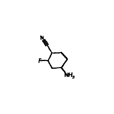 N#CC1CCC(N)CC1F